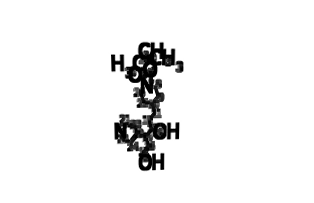 CC(C)(C)OC(=O)N1CCC(CCC(O)C(CCO)c2ccncc2)CC1